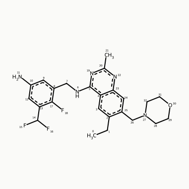 CCc1cc2c(NCc3cc(N)cc(C(F)F)c3F)nc(C)nc2cc1CN1CCOCC1